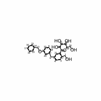 OCc1ccc(Cc2cccc(OCc3ccccc3)c2)cc1[C@@H]1O[C@H](CO)[C@@H](O)[C@H](O)[C@H]1O